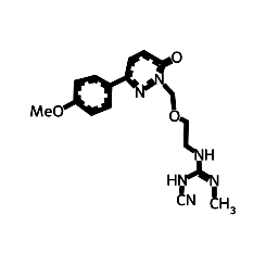 C/N=C(\NC#N)NCCOCn1nc(-c2ccc(OC)cc2)ccc1=O